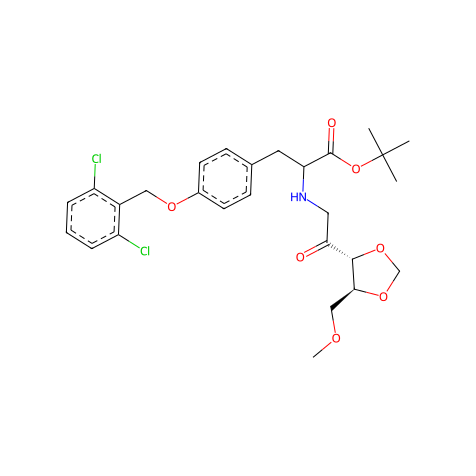 COC[C@@H]1OCO[C@H]1C(=O)CNC(Cc1ccc(OCc2c(Cl)cccc2Cl)cc1)C(=O)OC(C)(C)C